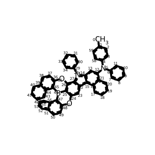 Cc1ccc(N(c2ccccc2)c2cc3c(c4ccccc24)c2cc4c5c(c2n3-c2ccccc2)Oc2ccc3ccccc3c2B5c2c(ccc3ccccc23)O4)cc1